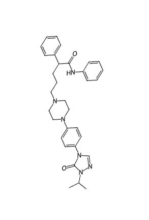 CC(C)n1ncn(-c2ccc(N3CCN(CCCC(C(=O)Nc4ccccc4)c4ccccc4)CC3)cc2)c1=O